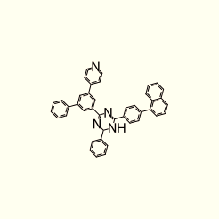 c1ccc(-c2cc(C3=NC(c4ccccc4)NC(c4ccc(-c5cccc6ccccc56)cc4)=N3)cc(-c3ccncc3)c2)cc1